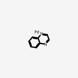 [Pd].c1ccc2nccnc2c1